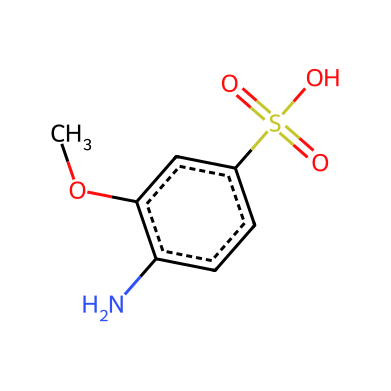 COc1cc(S(=O)(=O)O)ccc1N